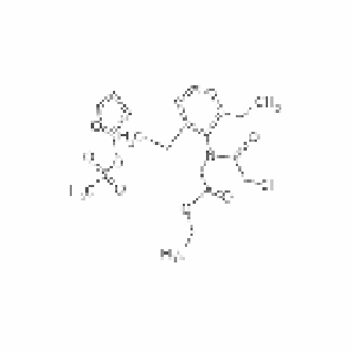 CCOC(=O)CN(C(=O)CCl)c1c(CC)cccc1CC.CS(=O)(=O)Oc1ccco1